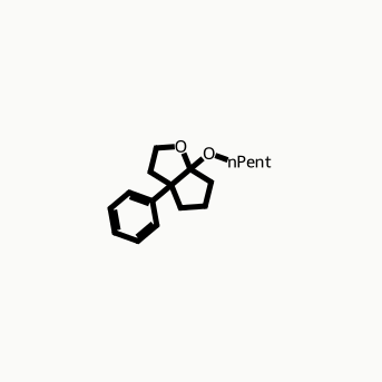 CCCCCOC12CCCC1(c1ccccc1)CCO2